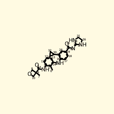 Cc1c(NC(=O)C2(C)COC2)cccc1Nc1ccc(C(=O)N=C2NCCN2)cc1C1CC1